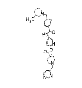 CC1CCCN(Cc2ccc(C(=O)Nc3ccc(OC(=O)N4CCN(Cc5ccncn5)CC4)nc3)cc2)C1